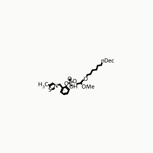 CCCCCCCCCCCCCCCCOCC(COP(=O)(O)Oc1ccccc1C[n+]1csc(C)c1)OC